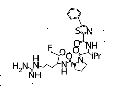 CC(C)C(NC(=O)c1ncc(-c2ccccc2)s1)C(=O)N1CCC[C@H]1C(=O)NC(CCCNC(=N)N)C(=O)CF